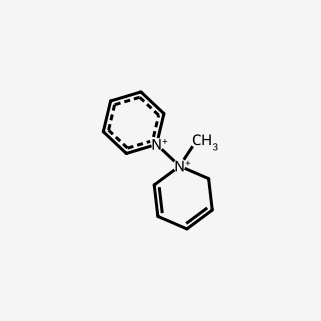 C[N+]1([n+]2ccccc2)C=CC=CC1